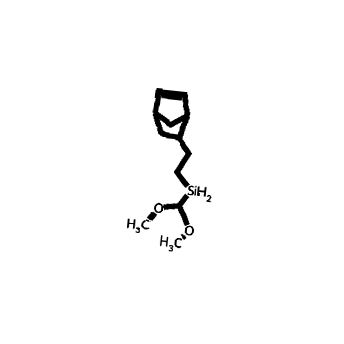 COC(OC)[SiH2]CCC1CC2C=CC1C2